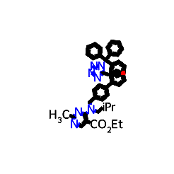 CCOC(=O)c1cnc(C)nc1N(Cc1ccc(-c2ccccc2-c2nnnn2C(c2ccccc2)(c2ccccc2)c2ccccc2)cc1)CC(C)C